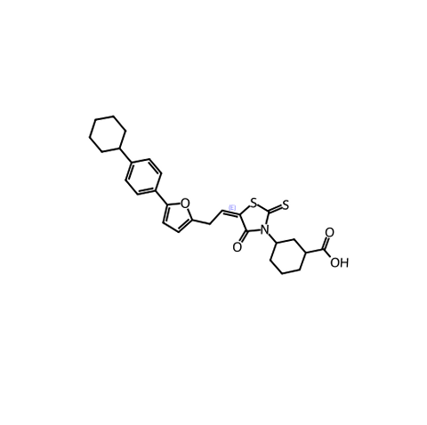 O=C(O)C1CCCC(N2C(=O)/C(=C\Cc3ccc(-c4ccc(C5CCCCC5)cc4)o3)SC2=S)C1